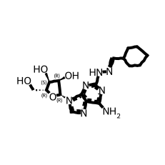 Nc1nc(NN=CC2CCCCC2)nc2c1ncn2[C@@H]1O[C@H](CO)[C@@H](O)[C@H]1O